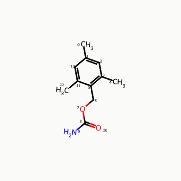 Cc1cc(C)c(COC(N)=O)c(C)c1